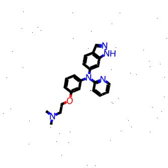 CN(C)CCOc1cccc(N(c2ccc3cn[nH]c3c2)c2[c]cccn2)c1